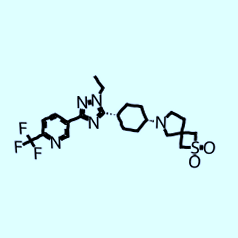 CCn1nc(-c2ccc(C(F)(F)F)nc2)nc1[C@H]1CC[C@@H](N2CCC3(C2)CS(=O)(=O)C3)CC1